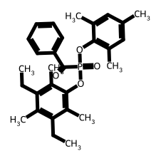 CCc1c(C)c(CC)c(C)c(OP(=O)(Oc2c(C)cc(C)cc2C)C(=O)c2ccccc2)c1C